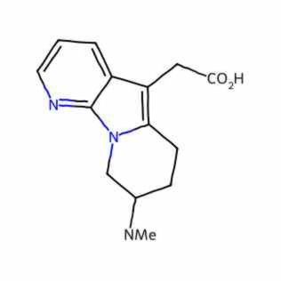 CNC1CCc2c(CC(=O)O)c3cccnc3n2C1